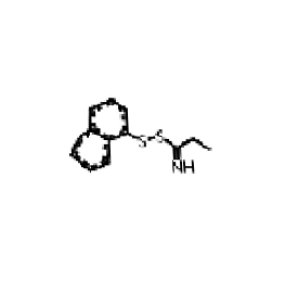 CCC(=N)SSc1cccc2ccccc12